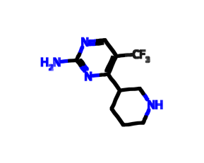 Nc1ncc(C(F)(F)F)c(C2CCCNC2)n1